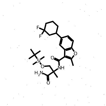 Cc1oc2ccc(C3CCCC(F)(F)C3)cc2c1C(=O)NC(C)(CO[Si](C)(C)C(C)(C)C)C(N)=O